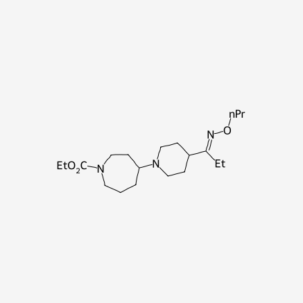 CCCON=C(CC)C1CCN(C2CCCN(C(=O)OCC)CC2)CC1